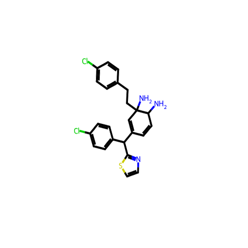 NC1C=CC(C(c2ccc(Cl)cc2)c2nccs2)=CC1(N)CCc1ccc(Cl)cc1